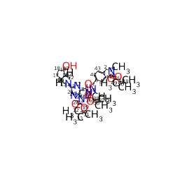 CN(Cc1ccc(-c2nnc(-c3nc(N4C[C@@H]5CCC(O)[C@@H]5C4)cnc3N(C(=O)OC(C)(C)C)C(=O)OC(C)(C)C)o2)cc1)C(=O)OC(C)(C)C